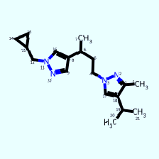 Cc1nn(CCC(C)c2cnn(CC3CC3)c2)cc1C(C)C